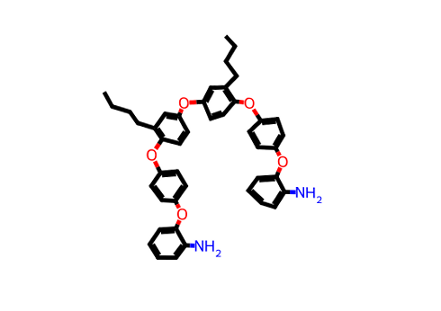 CCCCc1cc(Oc2ccc(Oc3ccc(Oc4ccccc4N)cc3)c(CCCC)c2)ccc1Oc1ccc(Oc2ccccc2N)cc1